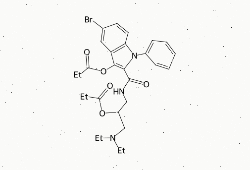 CCC(=O)Oc1c(C(=O)NCC(CN(CC)CC)OC(=O)CC)n(-c2ccccc2)c2ccc(Br)cc12